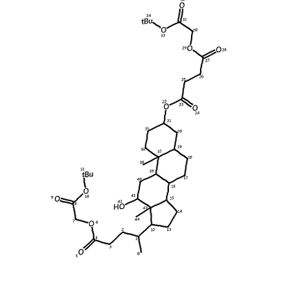 CC(CCC(=O)OCC(=O)OC(C)(C)C)C1CCC2C3CCC4CC(OC(=O)CCC(=O)OCC(=O)OC(C)(C)C)CCC4(C)C3CC(O)C12C